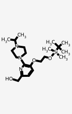 CC(C)N1CCN(c2nc(CO)ccc2OCCO[Si](C)(C)C(C)(C)C)CC1